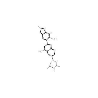 Cc1c(O)c(-c2cc(C#N)c3cc(N4CC(C)NC(C)C4)cnc3n2)cc2cn(C)nc12